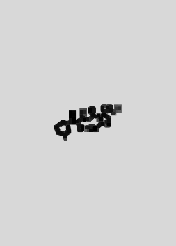 CCCCC1SC[C@@H](C(=O)O)N1C(=O)CNC(=O)Nc1cccc(C)c1